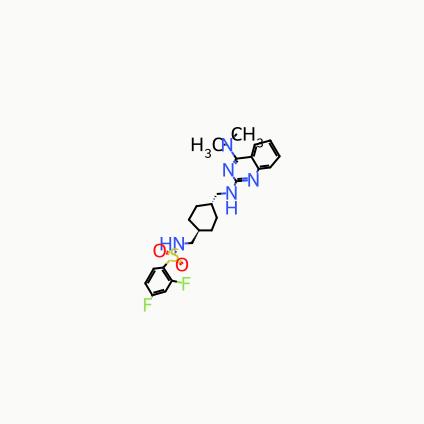 CN(C)c1nc(NC[C@H]2CC[C@H](CNS(=O)(=O)c3ccc(F)cc3F)CC2)nc2ccccc12